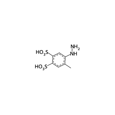 Cc1cc(S(=O)(=O)O)c(S(=O)(=O)O)cc1NN